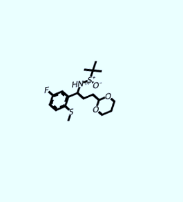 CSc1ccc(F)cc1C(CCC1OCCCO1)N[S@+]([O-])C(C)(C)C